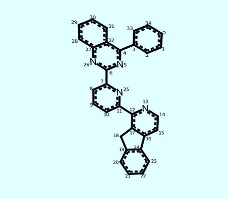 c1ccc(-c2nc(-c3cccc(-c4nccc5c4Cc4ccccc4-5)n3)nc3ccccc23)cc1